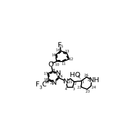 O[C@@]1(C2CCN(c3nc(Oc4cccc(F)c4)cc(C(F)(F)F)n3)C2)CCCNC1